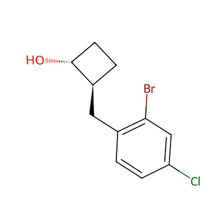 O[C@@H]1CC[C@H]1Cc1ccc(Cl)cc1Br